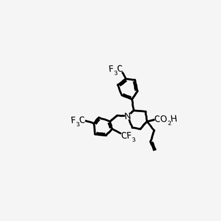 C=CCC1(C(=O)O)CCN(Cc2cc(C(F)(F)F)ccc2C(F)(F)F)C(c2ccc(C(F)(F)F)cc2)C1